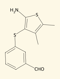 Cc1sc(N)c(Sc2cccc(C=O)c2)c1C